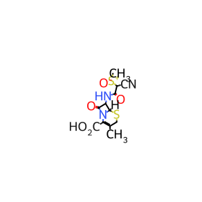 CC1=C(C(=O)O)N2C(=O)C(NC(=O)C(C#N)[S+](C)[O-])[C@@H]2SC1